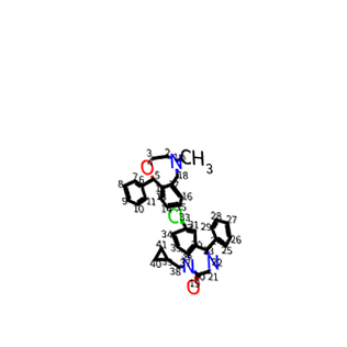 CN1CCOC(c2ccccc2)c2ccccc2C1.O=C1CN=C(c2ccccc2)c2cc(Cl)ccc2N1CC1CC1